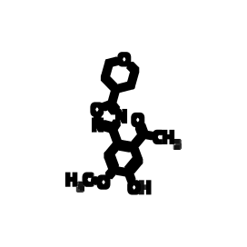 COc1cc(-c2noc(C3CCOCC3)n2)c(C(C)=O)cc1O